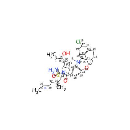 C=C[C@H](O)[C@@H]1CC[C@H]1CN1C[C@@]2(CCCc3cc(Cl)ccc32)COc2ccc(C(=O)N=S(N)(=O)C[C@@H](C)C/C=C/C)cc21